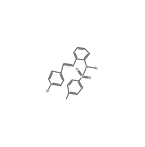 CC(=O)N(c1ccccc1/C=C/c1cc[n+]([O-])cc1)S(=O)(=O)c1ccc(C)cc1